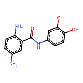 Nc1ccc(N)c(C(=O)Nc2ccc(O)c(O)c2)c1